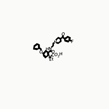 CCN(C(=O)O)c1ccc(OCc2ccccc2)cc1C(=O)NCCN1CCC(C(=O)c2ccc(F)cc2)CC1